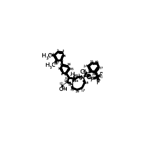 Cc1cccc(-c2ccc(C3[C@@H](CO)N4CCCCN(S(=O)(=O)c5ccccc5C(F)(F)F)C[C@@H]34)cc2)c1C